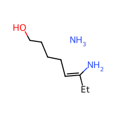 CC/C(N)=C/CCCCO.N